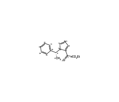 CCOC(=O)C(=O)c1cncn1[C@H](C)c1ccccc1